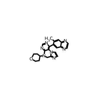 Cc1cc2nccnc2cc1-c1ncnc2c1-n1ccnc1CN2C1CCOCC1